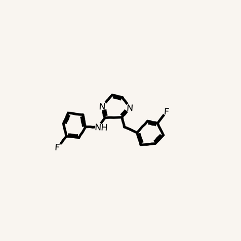 Fc1cccc(Cc2nccnc2Nc2cccc(F)c2)c1